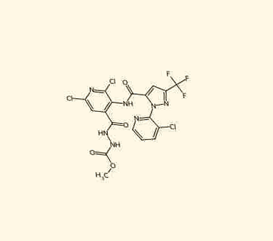 COC(=O)NNC(=O)c1cc(Cl)nc(Cl)c1NC(=O)c1cc(C(F)(F)F)nn1-c1ncccc1Cl